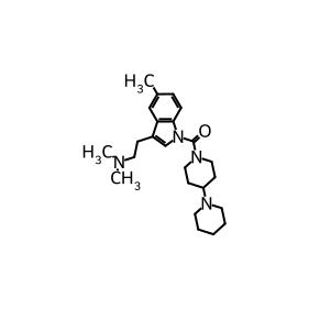 Cc1ccc2c(c1)c(CCN(C)C)cn2C(=O)N1CCC(N2CCCCC2)CC1